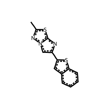 Cc1nn2cc(-c3cc4ccccc4s3)nc2s1